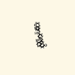 O=c1ccc2ncc(F)c3c2n1CC3(O)CN1CCC(NCc2cc3c(nn2)OCCS3)CC1